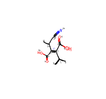 CC(C)/C(C(=O)O)=C(\C(=O)O)C(C)C#N